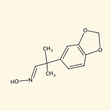 CC(C)(/C=N/O)c1ccc2c(c1)OCO2